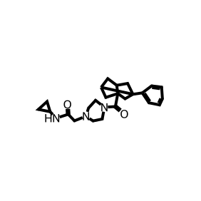 O=C(CN1CCN(C(=O)C23CC4CC2CC4(c2ccccc2)C3)CC1)NC1CC1